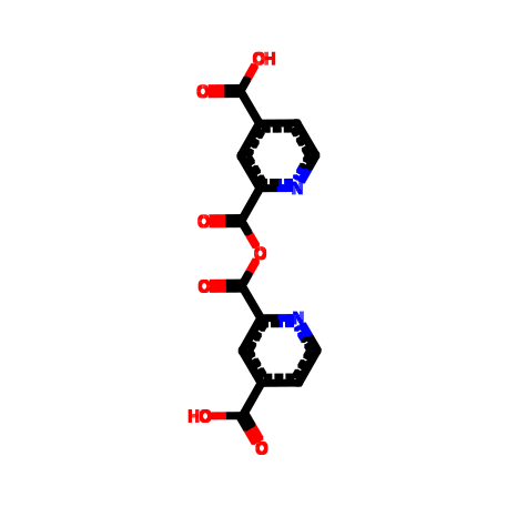 O=C(O)c1ccnc(C(=O)OC(=O)c2cc(C(=O)O)ccn2)c1